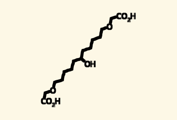 O=C(O)COCCCCCC(O)CCCCCOCC(=O)O